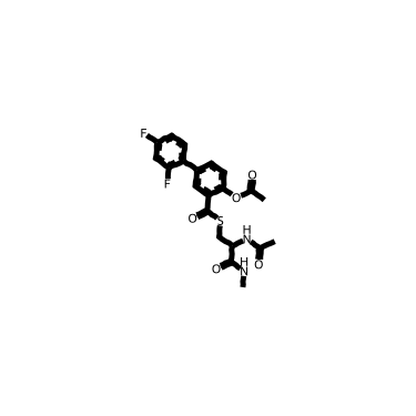 CNC(=O)C(CSC(=O)c1cc(-c2ccc(F)cc2F)ccc1OC(C)=O)NC(C)=O